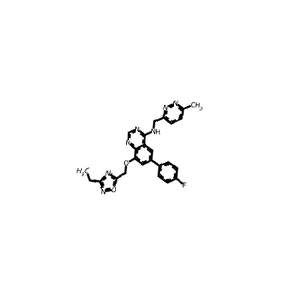 CCc1noc(COc2cc(-c3ccc(F)cc3)cc3c(NCc4ccc(C)nn4)ncnc23)n1